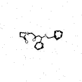 O=C(CC(SCc1ccccc1)c1ccccc1)CN1CCC1=O